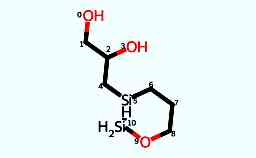 OCC(O)C[SiH]1CCCO[SiH2]1